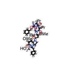 CC[C@H](C)[C@@H]([C@@H](CC(=O)N1CCC[C@H]1[C@H](OC)[C@@H](C)C(=O)NC(Cc1ccccc1)C(=O)O)OC)N(C)C(=O)[C@@H](NC(=O)[C@H](C(C)C)N(C)C(=O)OCc1ccccc1)C(C)C